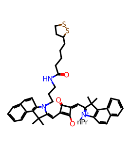 CCC[N+]1=C(C=C2C(=O)C(C=C3N(CCCNC(=O)CCCCC4CCSS4)c4ccc5ccccc5c4C3(C)C)=C2[O-])C(C)(C)c2c1ccc1ccccc21